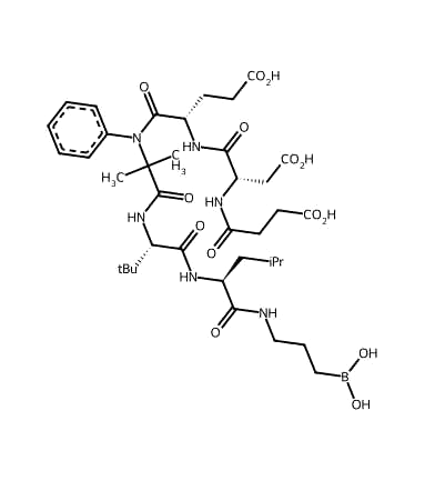 CC(C)C[C@H](NC(=O)[C@@H](NC(=O)C(C)(C)N(C(=O)[C@H](CCC(=O)O)NC(=O)[C@H](CC(=O)O)NC(=O)CCC(=O)O)c1ccccc1)C(C)(C)C)C(=O)NCCCB(O)O